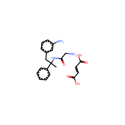 CC(Cc1cccc(N)c1)(NC(=O)CN)c1ccccc1.O=C(O)C=CC(=O)O